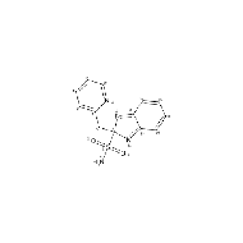 NS(=O)(=O)C1(Cc2ccccn2)N=c2ccccc2=N1